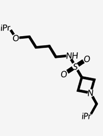 CC(C)CN1CC(S(=O)(=O)NCCCCOC(C)C)C1